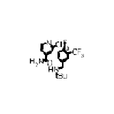 CC(C)(C)NCc1ccc(F)c(C(F)(F)F)c1.Cc1cc(C(N)=O)ccn1